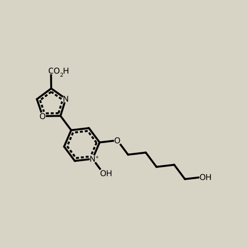 O=C(O)c1coc(-c2cc[n+](O)c(OCCCCCO)c2)n1